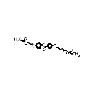 C=CC(=O)OCCCCCCOc1ccc(C(=O)Oc2ccc(OCCCOC(=O)C=C)cc2)cc1